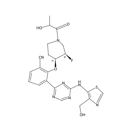 CC(O)C(=O)N1CC[C@H](Oc2c(C#N)cccc2-c2ncnc(Nc3scnc3CO)n2)[C@H](F)C1